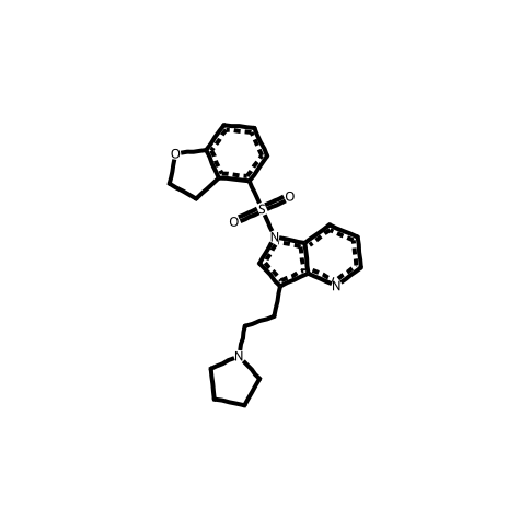 O=S(=O)(c1cccc2c1CCO2)n1cc(CCN2CCCC2)c2ncccc21